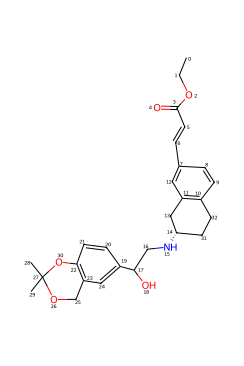 CCOC(=O)C=Cc1ccc2c(c1)C[C@@H](NCC(O)c1ccc3c(c1)COC(C)(C)O3)CC2